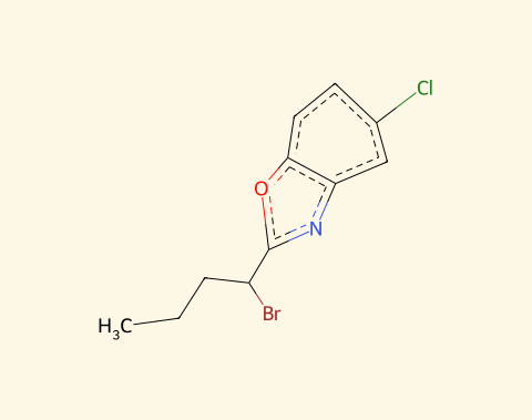 CCCC(Br)c1nc2cc(Cl)ccc2o1